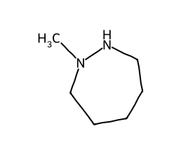 CN1CCCCCN1